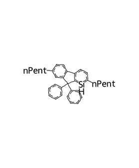 CCCCCc1ccc2c(c1)C(c1ccccc1)(c1ccccc1)c1[siH]c(CCCCC)ccc1-2